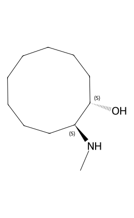 CN[C@H]1CCCCCCCC[C@@H]1O